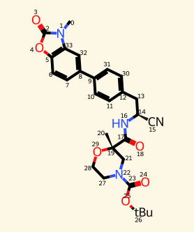 Cn1c(=O)oc2ccc(-c3ccc(C[C@@H](C#N)NC(=O)[C@]4(C)CN(C(=O)OC(C)(C)C)CCO4)cc3)cc21